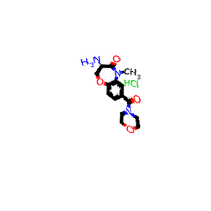 CN1C(=O)[C@@H](N)COc2ccc(C(=O)N3CCOCC3)cc21.Cl